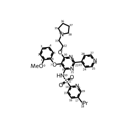 COc1ccccc1Oc1c(NS(=O)(=O)c2ccc(C(C)C)cn2)nc(-c2ccncc2)nc1OCCN1CCCC1